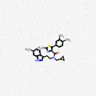 Cc1ccc2c(CCN(CC3CC3)C(=O)c3nc(C)sc3-c3ccc(C)c(C)c3)c[nH]c2c1